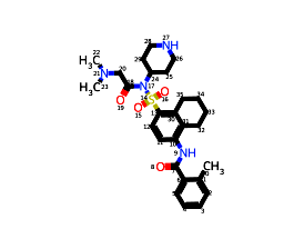 Cc1ccccc1C(=O)Nc1ccc(S(=O)(=O)N(C(=O)CN(C)C)C2CCNCC2)c2c1CCCC2